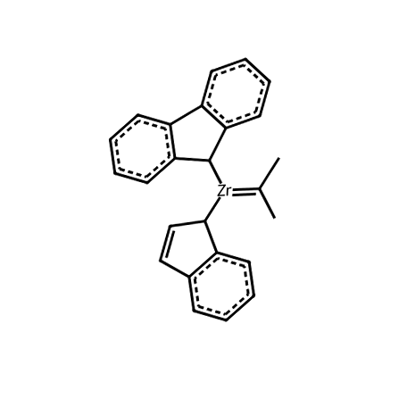 C[C](C)=[Zr]([CH]1C=Cc2ccccc21)[CH]1c2ccccc2-c2ccccc21